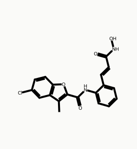 Cc1c(C(=O)Nc2ccccc2/C=C/C(=O)NO)oc2ccc(Cl)cc12